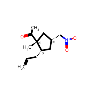 C=CC[C@H]1C[C@@H](C[N+](=O)[O-])C[C@@]1(C)C(C)=O